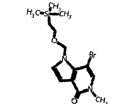 Cn1cc(Br)c2c(ccn2COCC[Si](C)(C)C)c1=O